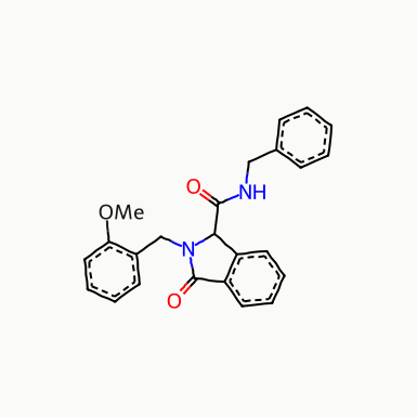 COc1ccccc1CN1C(=O)c2ccccc2C1C(=O)NCc1ccccc1